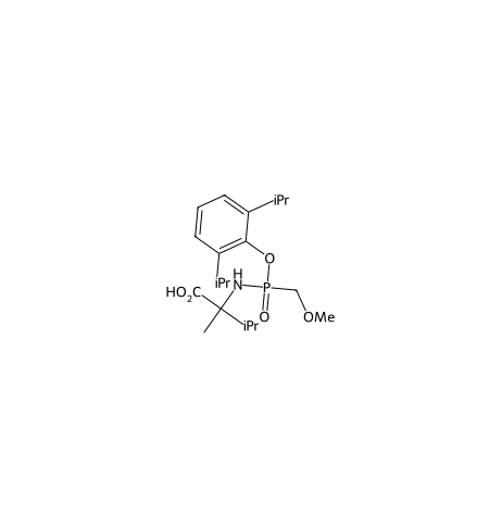 COCP(=O)(NC(C)(C(=O)O)C(C)C)Oc1c(C(C)C)cccc1C(C)C